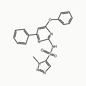 Cn1nncc1S(=O)(=O)Nc1nc(Oc2ccccc2)cc(-c2ccccc2)n1